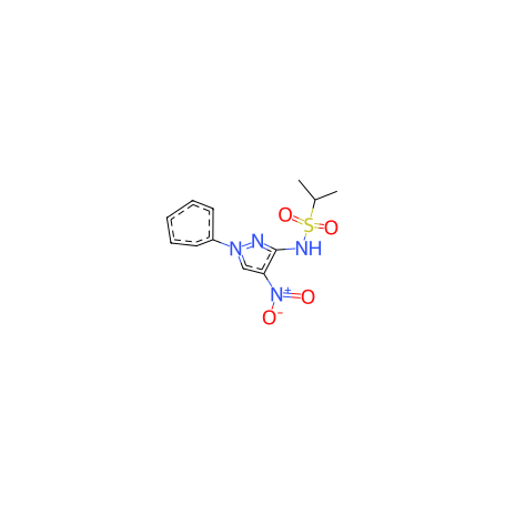 CC(C)S(=O)(=O)Nc1nn(-c2ccccc2)cc1[N+](=O)[O-]